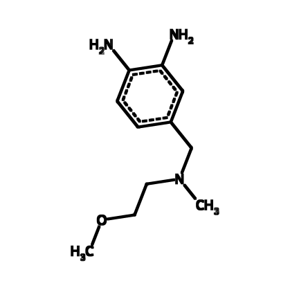 COCCN(C)Cc1ccc(N)c(N)c1